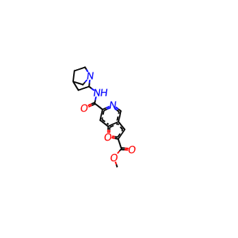 COC(=O)c1cc2cnc(C(=O)NC3CC4CCN3C4)cc2o1